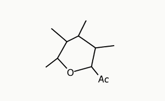 CC(=O)C1OC(C)C(C)C(C)C1C